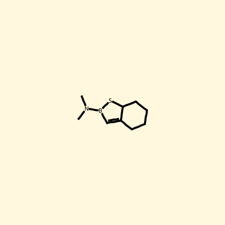 CN(C)B1C=C2CCCCC2S1